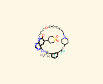 C[C@H]1Nc2ncnc3c2cc(C2CCS(=O)(=O)CC2)c(=O)n3CCCOCCCCCN2CCC(CC2)CC(F)(F)c2cccc1c2F